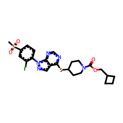 CS(=O)(=O)c1ccc(-n2ncc3c(SC4CCN(C(=O)OCC5CCC5)CC4)ncnc32)c(F)c1